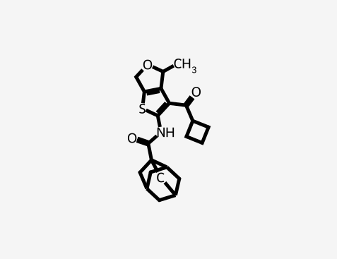 CC1OCc2sc(NC(=O)C34CC5CC(CC3C5)C4)c(C(=O)C3CCC3)c21